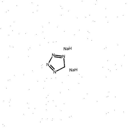 C1N=NN=N1.[NaH].[NaH]